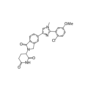 COc1ccc(Cl)c(-c2nc(-c3ccc4c(c3)CN(C3CCC(=O)NC3=O)C4=O)cn2C)c1